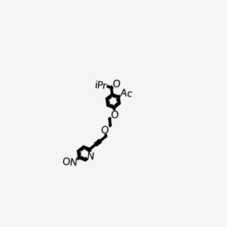 CC(=O)c1cc(OCCOCC#Cc2ccc(N=O)cn2)ccc1C(=O)C(C)C